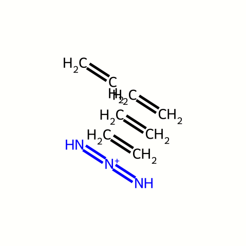 C=C.C=C.C=C.C=C.N=[N+]=N